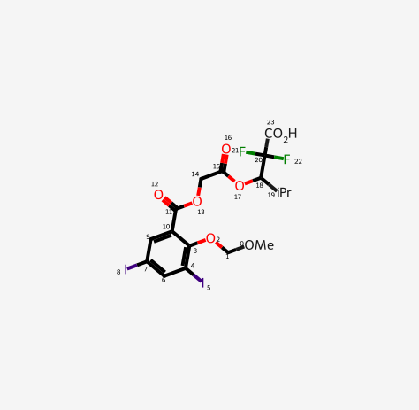 COCOc1c(I)cc(I)cc1C(=O)OCC(=O)OC(C(C)C)C(F)(F)C(=O)O